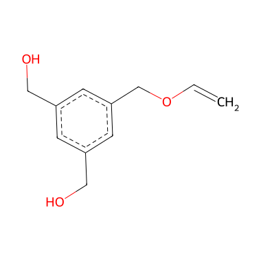 C=COCc1cc(CO)cc(CO)c1